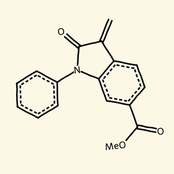 C=C1C(=O)N(c2ccccc2)c2cc(C(=O)OC)ccc21